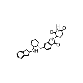 O=C1CCC(N2Cc3cc(C[C@H]4CCCCC4NC4Cc5ccccc5C4)ccc3C2=O)C(=O)N1